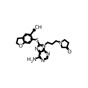 C#Cc1cc2c(cc1Sc1nc3c(N)ncnc3n1CCCN1CCC(=O)C1)OCC2